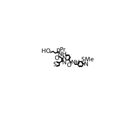 C=Nc1ccc(CNC(=O)c2cccn3c(C(=O)N[C@H](CCC)CCCO)c(-c4ccsc4)nc23)cc1SC